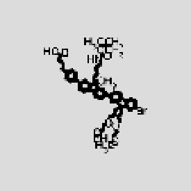 COCCOCCCC1(CCCOCCOC)c2cc(Br)ccc2-c2ccc(-c3ccc4c(c3)C(C)(CCCCNC(=O)OC(C)(C)C)c3cc(-c5ccc(CCCC(=O)O)cc5)ccc3-4)cc21